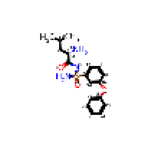 CC(C)C[C@H](N)C(=O)N=S(N)(=O)c1cccc(Oc2ccccc2)c1